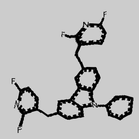 Fc1ccc(Cc2ccc3c(c2)c2cc(Cc4ccc(F)nc4F)ccc2n3-c2ccccc2)c(F)n1